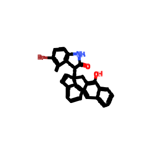 Cc1c(Br)ccc2c1C(C1(Cc3ccc4ccccc4c3O)C=Cc3ccccc31)C(=O)N2